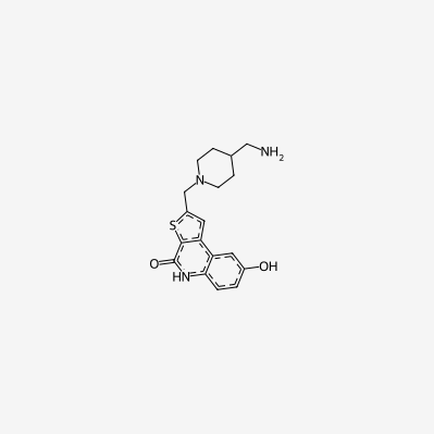 NCC1CCN(Cc2cc3c(s2)c(=O)[nH]c2ccc(O)cc23)CC1